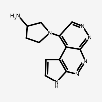 NC1CCN(c2cnnc3nnc4[nH]ccc4c23)C1